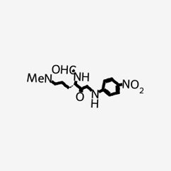 CNCCC[C@H](NC=O)C(=O)CNc1ccc([N+](=O)[O-])cc1